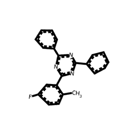 Cc1ccc(F)cc1-c1nc(-c2ccccc2)nc(-c2ccccc2)n1